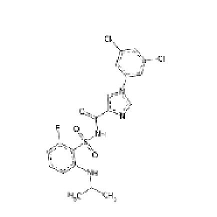 CC(C)Nc1cccc(F)c1S(=O)(=O)NC(=O)c1cn(-c2cc(Cl)cc(Cl)c2)cn1